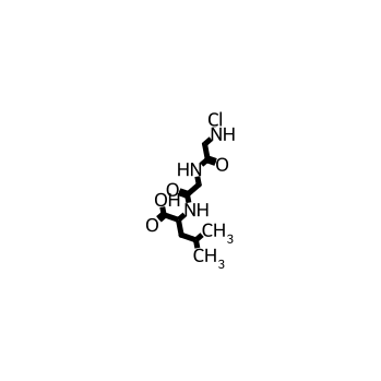 CC(C)CC(NC(=O)CNC(=O)CNCl)C(=O)O